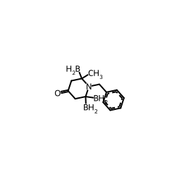 BC1(B)CC(=O)CC(B)(C)N1Cc1ccccc1